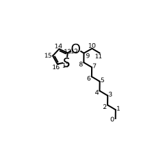 CCCCCCCCCC(CC)Oc1cccs1